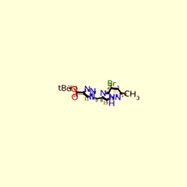 CC(=N)/C=C(/Br)c1nc(Cn2cc(C(=O)OC(C)(C)C)nn2)c[nH]1